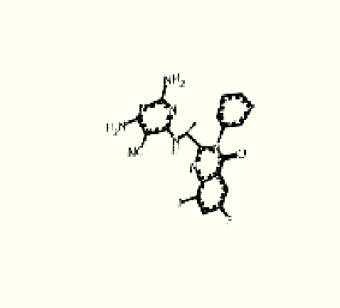 C[C@H](Nc1nc(N)nc(N)c1C#N)c1nc2c(I)cc(F)cc2c(=O)n1-c1ccccc1